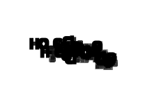 C[C@H](NC(=O)c1c(Cl)cc2c(c1Cl)CCN(C(=O)c1ccc3ccoc3c1)C2)C(=O)O